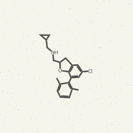 Cc1cccc(C)c1-c1cc(Cl)cc2c1OC(CNCC1CC1)C2